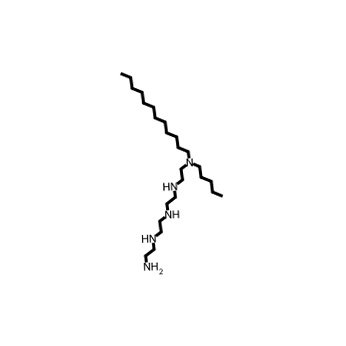 CCCCCCCCCCCCN(CCCCC)CCNCCNCCNCCN